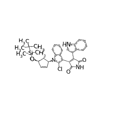 CC(C)(C)[Si](C)(C)O[C@@H]1C=C[C@H](n2c(Cl)c(C3=C(c4c[nH]c5ccccc45)C(=O)NC3=O)c3ccccc32)C1